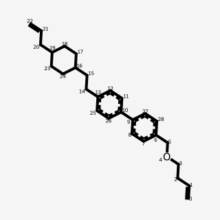 C=CCCOCc1ccc(-c2ccc(CCC3CCC(CC=C)CC3)cc2)cc1